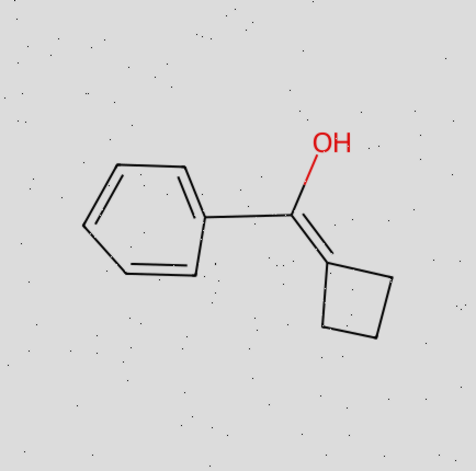 OC(=C1CCC1)c1ccccc1